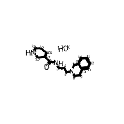 Cl.O=C(NCCCN1CCc2ccccc2C1)C1CCCNC1